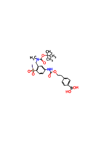 CN(Cc1cc(NC(=O)OCCc2ccc(B(O)O)cc2)ccc1S(=O)(=O)I)C(=O)OC(C)(C)C